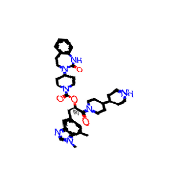 Cc1cc(C[C@@H](OC(=O)N2CCC(N3CCc4ccccc4NC3=O)CC2)C(=O)N2CCC(C3CCNCC3)CC2)cc2ncn(C)c12